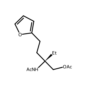 CC[C@@](CCc1ccco1)(COC(C)=O)NC(C)=O